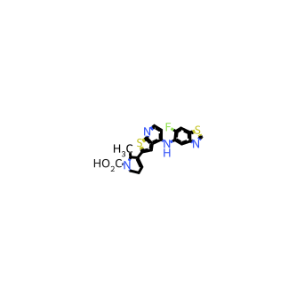 CC1C(c2cc3c(Nc4cc5ncsc5cc4F)ccnc3s2)=CCCN1C(=O)O